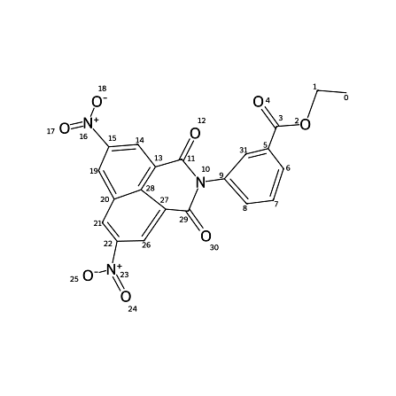 CCOC(=O)c1cccc(N2C(=O)c3cc([N+](=O)[O-])cc4cc([N+](=O)[O-])cc(c34)C2=O)c1